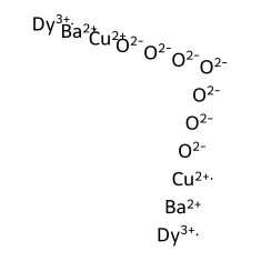 [Ba+2].[Ba+2].[Cu+2].[Cu+2].[Dy+3].[Dy+3].[O-2].[O-2].[O-2].[O-2].[O-2].[O-2].[O-2]